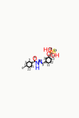 Cc1ccc(C(=O)NN=Cc2cccc(OP(O)(O)=S)c2)cc1